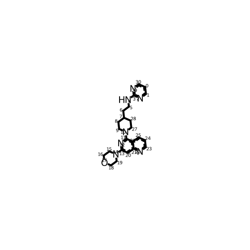 c1cnc(NCCC2CCN(c3nc(N4CCOCC4)cc4ncccc34)CC2)nc1